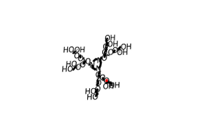 OC[C@H](O)OCOC[C@H](OCO[C@@H](O)CO)OCN1CCN(CO[C@H](COCO[C@@H](O)CO)OCO[C@@H](O)CO)CCN(CO[C@H](COCO[C@@H](O)CO)OCO[C@@H](O)CO)CC1